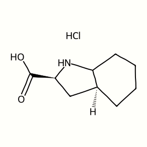 Cl.O=C(O)[C@@H]1C[C@@H]2CCCCC2N1